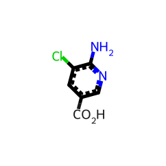 Nc1ncc(C(=O)O)cc1Cl